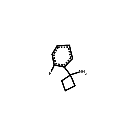 NC1(c2ccccc2F)CCC1